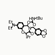 CCN(CC)c1ccc2c(c1)OC(C(C)C)C(=O)N(Cc1ccc3c(c1)OCO3)C2OC(=O)NC(C)(C)C